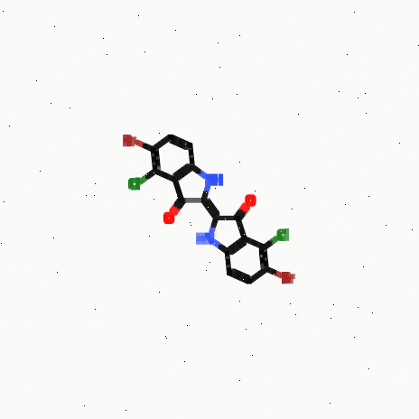 O=C1/C(=C2\Nc3ccc(Br)c(Cl)c3C2=O)Nc2ccc(Br)c(Cl)c21